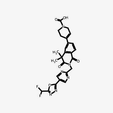 CC1(C)C(=O)N(Cc2ncc(-c3nnc(C(F)F)o3)cn2)C(=O)c2ccc(C3=CCN(C(=O)O)CC3)cc21